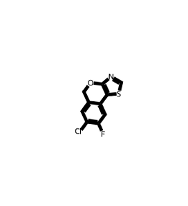 Fc1cc2c(cc1Cl)COc1ncsc1-2